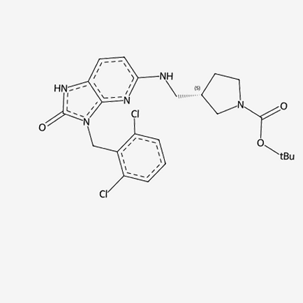 CC(C)(C)OC(=O)N1CC[C@@H](CNc2ccc3[nH]c(=O)n(Cc4c(Cl)cccc4Cl)c3n2)C1